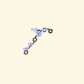 Nc1cc(N2CCN(Cc3ccccc3)CC2)nc(NCC2CCC(CNCCCNC3CCCCC3)CC2)n1